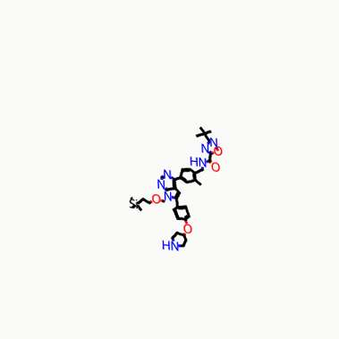 Cc1cc(-c2ncnc3c2cc(-c2ccc(OC4CCNCC4)cc2)n3COCC[Si](C)(C)C)ccc1CNC(=O)c1nc(C(C)(C)C)no1